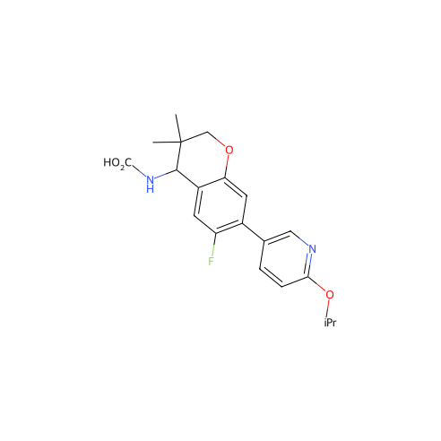 CC(C)Oc1ccc(-c2cc3c(cc2F)C(NC(=O)O)C(C)(C)CO3)cn1